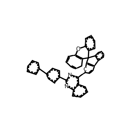 C1=CCC2=C(C=C1)Oc1ccccc1C21C2=C(C=CC(c3nc(-c4ccc(-c5ccccc5)cc4)nc4ccccc34)C2)c2ccccc21